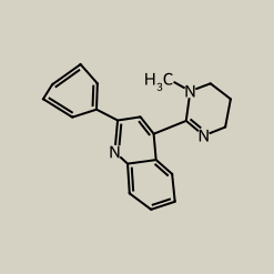 CN1CCCN=C1c1cc(-c2ccccc2)nc2ccccc12